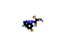 CC(Br)C(=O)Nc1c(F)c(Br)cc2c(F)c[nH]c12